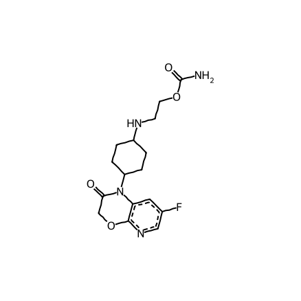 NC(=O)OCCNC1CCC(N2C(=O)COc3ncc(F)cc32)CC1